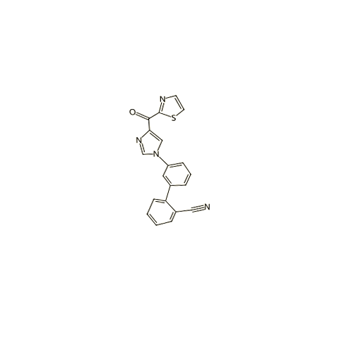 N#Cc1ccccc1-c1cccc(-n2cnc(C(=O)c3nccs3)c2)c1